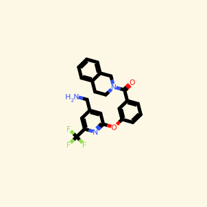 NCc1cc(Oc2cccc(C(=O)N3CCc4ccccc4C3)c2)nc(C(F)(F)F)c1